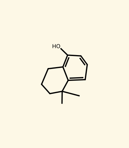 CC1(C)CCCc2c(O)cccc21